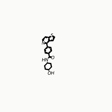 O=C(N[C@H]1CC[C@H](O)CC1)c1ccc(-c2nccc3sccc23)cc1